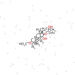 CC(=O)O[C@@H]([C@H]1C[C@@H](C)C2C(O1)[C@H](O)[C@@]1(C)[C@@H]3CC[C@H]4C(C)(C)[C@@H](OCC(=O)O)CC[C@@]45C[C@@]35CC[C@]21C)C(C)(C)O